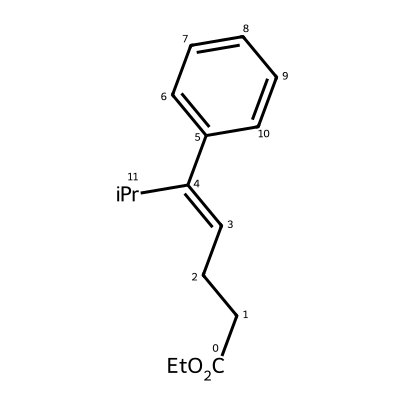 CCOC(=O)CCC=C(c1ccccc1)C(C)C